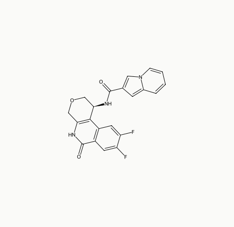 O=C(N[C@@H]1COCc2[nH]c(=O)c3cc(F)c(F)cc3c21)c1cc2ccccn2c1